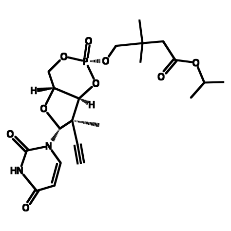 C#C[C@]1(C)[C@@H]2O[P@@](=O)(OCC(C)(C)CC(=O)OC(C)C)OC[C@H]2O[C@H]1n1ccc(=O)[nH]c1=O